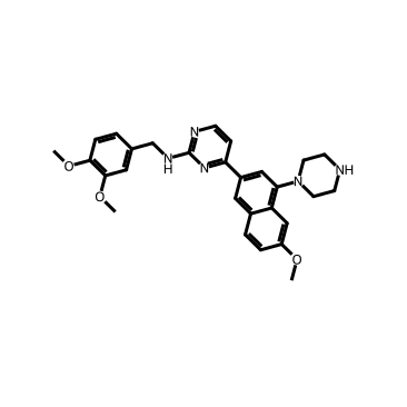 COc1ccc2cc(-c3ccnc(NCc4ccc(OC)c(OC)c4)n3)cc(N3CCNCC3)c2c1